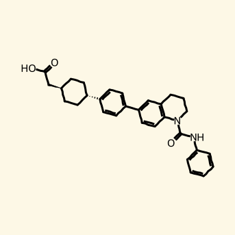 O=C(O)C[C@H]1CC[C@H](c2ccc(-c3ccc4c(c3)CCCN4C(=O)Nc3ccccc3)cc2)CC1